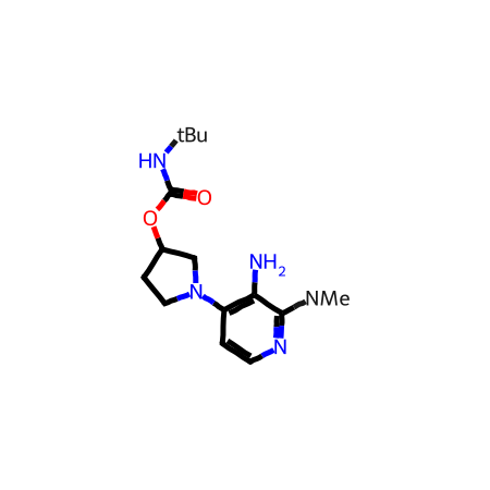 CNc1nccc(N2CCC(OC(=O)NC(C)(C)C)C2)c1N